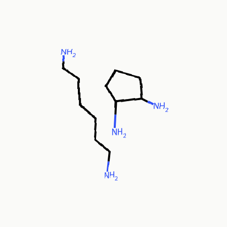 NC1CCCC1N.NCCCCCCN